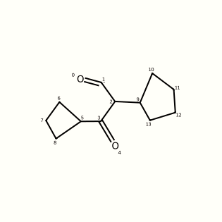 O=[C]C(C(=O)C1CCC1)C1CCCC1